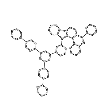 c1ccc(-c2ccc(-c3cc(-c4cccc(-n5c6ccccc6c6ccc7c(-c8ccccc8)nc8ccccc8c7c65)c4)cc(-c4ccc(-c5ccccn5)cc4)n3)nc2)cc1